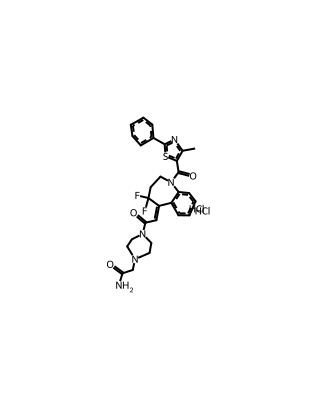 Cc1nc(-c2ccccc2)sc1C(=O)N1CCC(F)(F)C(=CC(=O)N2CCN(CC(N)=O)CC2)c2ccccc21.Cl.Cl